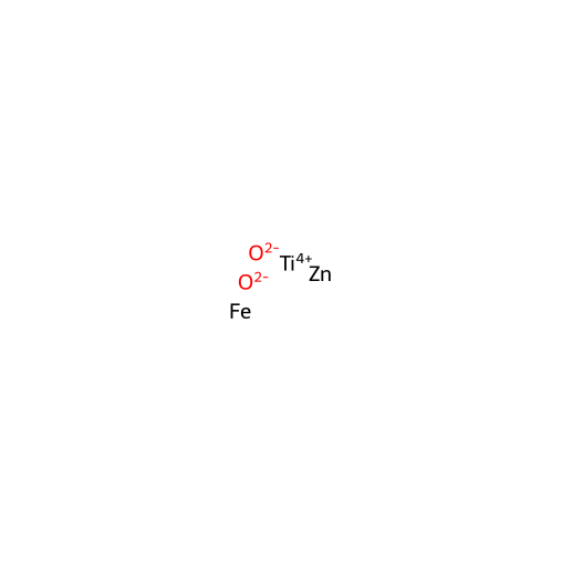 [Fe].[O-2].[O-2].[Ti+4].[Zn]